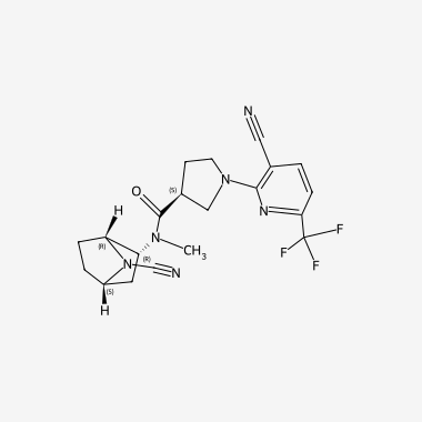 CN(C(=O)[C@H]1CCN(c2nc(C(F)(F)F)ccc2C#N)C1)[C@@H]1C[C@@H]2CC[C@H]1N2C#N